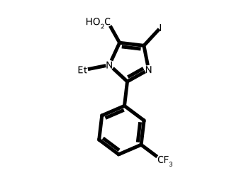 CCn1c(-c2cccc(C(F)(F)F)c2)nc(I)c1C(=O)O